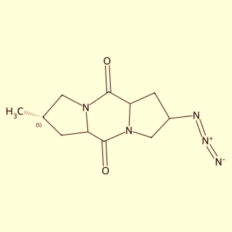 C[C@H]1CC2C(=O)N3CC(N=[N+]=[N-])CC3C(=O)N2C1